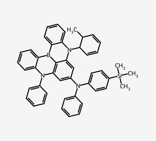 CC1C=CC=CC1N1c2ccccc2B2c3ccccc3N(c3ccccc3)c3cc(N(c4ccccc4)c4ccc([Si](C)(C)C)cc4)cc1c32